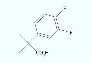 CC(I)(C(=O)O)c1ccc(F)c(F)c1